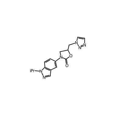 CC(C)n1ncc2cc(N3CC(Cn4ccnn4)OC3=O)ccc21